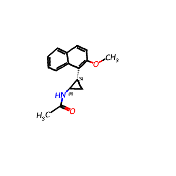 COc1ccc2ccccc2c1[C@@H]1C[C@H]1NC(C)=O